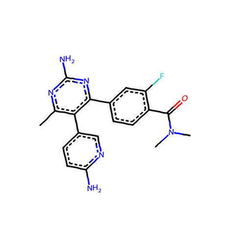 Cc1nc(N)nc(-c2ccc(C(=O)N(C)C)c(F)c2)c1-c1ccc(N)nc1